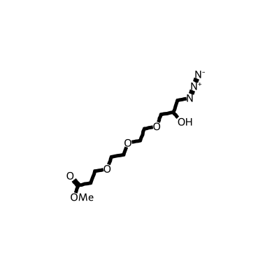 COC(=O)CCOCCOCCOCC(O)CN=[N+]=[N-]